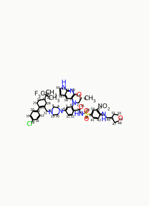 C[C@@H]1CN(c2cc(N3CCN(CC4=C(c5ccc(Cl)cc5)CC[C@@H](C(C)(C)C(F)(F)F)C4)CC3)ccc2C(=O)NS(=O)(=O)c2ccc(NCC3CCOCC3)c([N+](=O)[O-])c2)c2cc3cc[nH]c3nc2O1